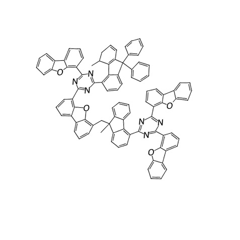 CC1CC=CC2=C1c1c(-c3nc(-c4cccc5c4oc4ccccc45)nc(-c4cccc5c4oc4c(CC6(C)c7ccccc7-c7c(-c8nc(-c9cccc%10c9oc9ccccc9%10)nc(-c9cccc%10c9oc9ccccc9%10)n8)cccc76)cccc45)n3)cccc1C2(c1ccccc1)c1ccccc1